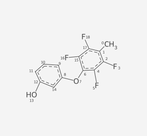 Cc1c(F)c(F)c(Oc2cccc(O)c2)c(F)c1F